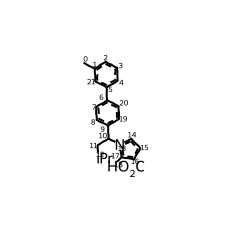 Cc1cccc(-c2ccc(C(CC(C)C)n3cccc3C(=O)O)cc2)c1